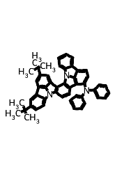 CC(C)(C)c1ccc2c(c1)c1cc(C(C)(C)C)cc3c4c(ccc5c6c(N(c7ccccc7)c7ccccc7)ccc7c8ccccc8n(c76)c54)n2c13